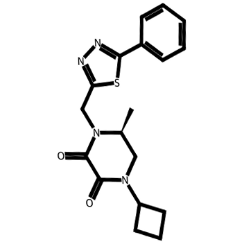 C[C@H]1CN(C2CCC2)C(=O)C(=O)N1Cc1nnc(-c2ccccc2)s1